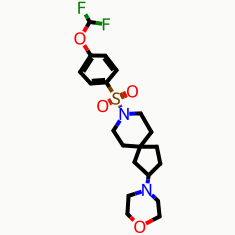 O=S(=O)(c1ccc(OC(F)F)cc1)N1CCC2(CCC(N3CCOCC3)C2)CC1